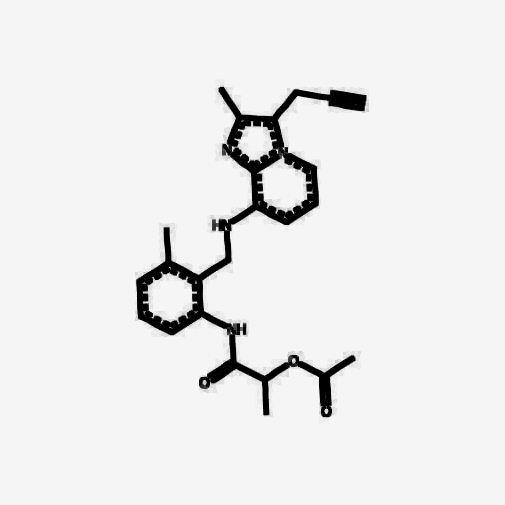 C#CCc1c(C)nc2c(NCc3c(C)cccc3NC(=O)C(C)OC(C)=O)cccn12